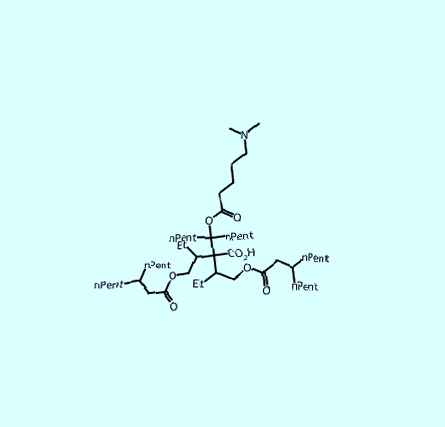 CCCCCC(CCCCC)CC(=O)OCC(CC)C(C(=O)O)(C(CC)COC(=O)CC(CCCCC)CCCCC)C(CCCCC)(CCCCC)OC(=O)CCCCN(C)C